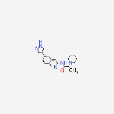 CC(C(=O)Nc1cc2cc(-c3cn[nH]c3)ccc2cn1)N1CCCCC1